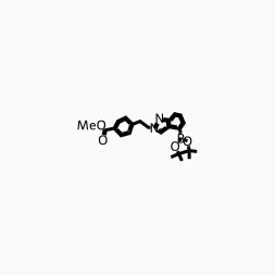 COC(=O)c1ccc(CCn2cc3c(B4OC(C)(C)C(C)(C)O4)cccc3n2)cc1